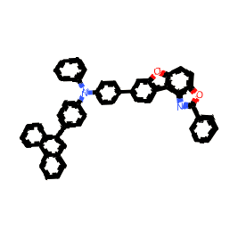 c1ccc(-c2nc3c(ccc4oc5cc(-c6ccc(N(c7ccccc7)c7ccc(-c8cc9ccccc9c9ccccc89)cc7)cc6)ccc5c43)o2)cc1